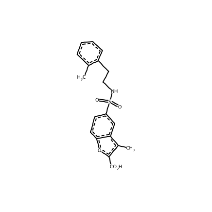 Cc1ccccc1CCNS(=O)(=O)c1ccc2oc(C(=O)O)c(C)c2c1